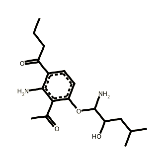 CCCC(=O)c1ccc(OC(N)C(O)CC(C)C)c(C(C)=O)c1N